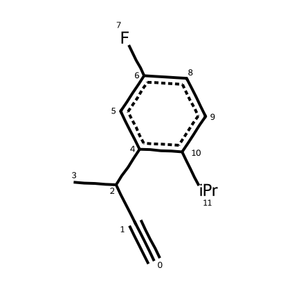 C#CC(C)c1cc(F)ccc1C(C)C